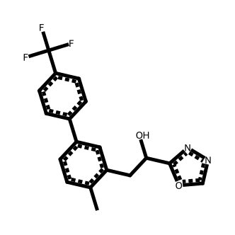 Cc1ccc(-c2ccc(C(F)(F)F)cc2)cc1CC(O)c1nnco1